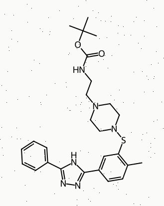 Cc1ccc(-c2nnc(-c3ccccc3)[nH]2)cc1SN1CCN(CCNC(=O)OC(C)(C)C)CC1